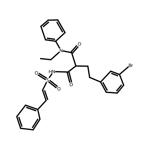 CCN(C(=O)C(CCc1cccc(Br)c1)C(=O)NS(=O)(=O)C=Cc1ccccc1)c1ccccc1